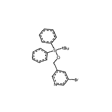 CC(C)(C)[Si](OCc1cncc(Br)c1)(c1ccccc1)c1ccccc1